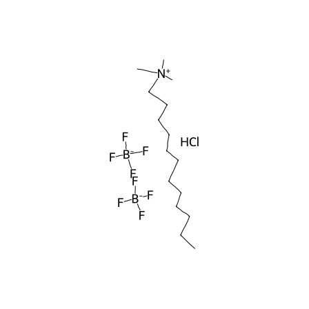 CCCCCCCCCCCC[N+](C)(C)C.Cl.F[B-](F)(F)F.F[B-](F)(F)F